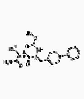 CC[C@H](C)[C@H](NC(=O)[C@H](Cc1ccc(-c2ccccc2)cc1)NC(=O)OC(C)(C)C)C(N)=O